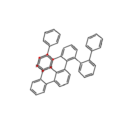 c1ccc(-c2ccccc2-c2cccc(-c3nnncc3-c3ccccc3)c2-c2cccc3c4ccccc4c4ccccc4c23)cc1